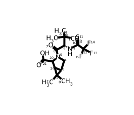 CC1(C)C2CN(C(=O)[C@@H](NC(=S)C(F)(F)F)C(C)(C)C)C(C(=O)O)C21